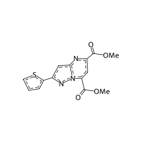 COC(=O)c1cc(C(=O)OC)n2nc(-c3cccs3)cc2n1